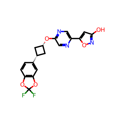 Oc1cc(-c2cnc(O[C@H]3C[C@@H](c4ccc5c(c4)OC(F)(F)O5)C3)cn2)on1